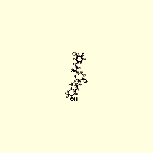 CC1(C)CCN(C[C@H](O)CN2CCN(C(=O)/C=C/c3ccc(F)c(Cl)c3)CCC2=O)CC1O